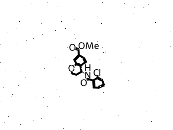 COC(=O)c1ccc2c(c1)OCC[C@H]2NC(=O)c1ccccc1Cl